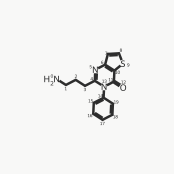 NCCCc1nc2ccsc2c(=O)n1-c1ccccc1